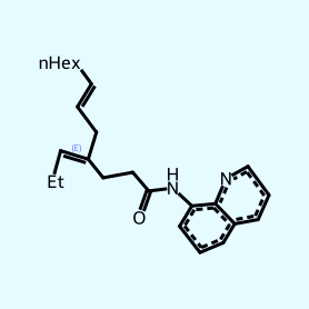 CC/C=C(/CC=CCCCCCC)CCC(=O)Nc1cccc2cccnc12